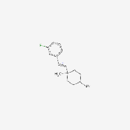 CC(C)C1CCC(C)(/C=C/c2cccc(F)c2)CC1